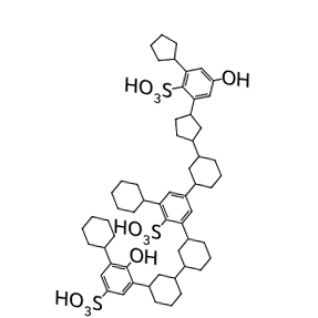 O=S(=O)(O)c1cc(C2CCCCC2)c(O)c(C2CCCC(C3CCCC(c4cc(C5CCCC(C6CCC(c7cc(O)cc(C8CCCC8)c7S(=O)(=O)O)C6)C5)cc(C5CCCCC5)c4S(=O)(=O)O)C3)C2)c1